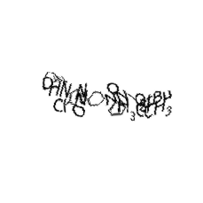 CC(C)(C)[Si](C)(C)OCCn1c(=O)n([C@H]2CC[C@H](n3ncc(NC[C@@H]4CCCOC4)c(Cl)c3=O)CC2)c2ccccc21